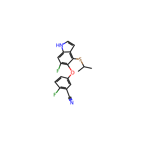 CC(C)Sc1c(Oc2ccc(F)c(C#N)c2)c(F)cc2[nH]ccc12